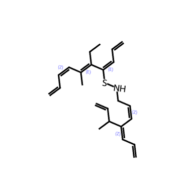 C=C\C=C/C(C)=C(CC)/C(=C\C=C)SNC/C=C\C(=C/C=C)C(C)C=C